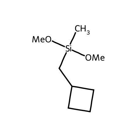 CO[Si](C)(CC1CCC1)OC